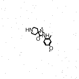 COc1ccc(NC(=O)C2(N(C)C)CCNCC2)c(C)c1